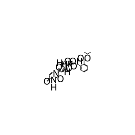 CC(C)OC(=O)c1ccccc1CO[PH]1(O)OC[C@H]2O[C@@H](n3ccc(=O)[nH]c3=O)C[C@@H]2O1